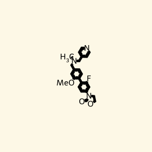 COc1cc(CN(C)Cc2ccncc2)ccc1-c1ccc(N2CCOC2=O)cc1F